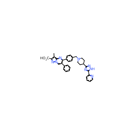 Cc1c(C(=O)O)nn2cc(-c3ccccc3)c(-c3ccc(CN4CCC(c5n[nH]c(-c6ccccn6)n5)CC4)cc3)nc12